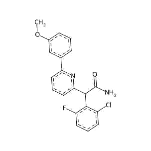 COc1cccc(-c2cccc(C(C(N)=O)c3c(F)cccc3Cl)n2)c1